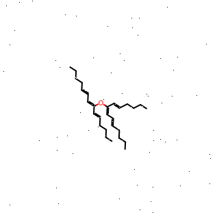 CCCCC=CC=C(C=CCCCC)OC(C=CCCCC)=CC=CCCCC